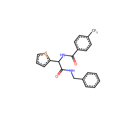 O=C(NC(C(=O)NCc1ccccc1)c1cccs1)c1ccc(C(F)(F)F)cc1